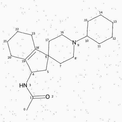 CC(=O)NC1CC2(CCN(C3CCCCC3)CC2)C2=C1CCCC2